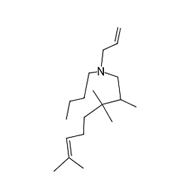 C=CCN(CCCC)CC(C)C(C)(C)CCC=C(C)C